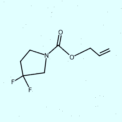 C=CCOC(=O)N1CCC(F)(F)C1